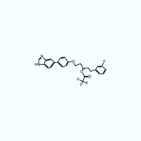 O=C(ON(CCOc1ccc(-c2ccc3[nH]cnc3c2)cc1)CCc1cccc(F)c1)C(F)(F)F